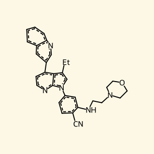 CCc1cn(-c2ccc(C#N)c(NCCN3CCOCC3)c2)c2nccc(-c3cnc4ccccc4c3)c12